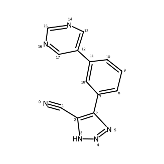 N#Cc1[nH]nnc1-c1cccc(-c2cncnc2)c1